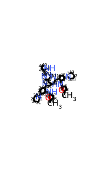 Cc1ccc(Nc2cc(N3CCCCC3)ccc2C2=CC3=CC(c4ccc(N5CCCCC5)cc4Nc4ccc(C)o4)=NC4=NC(c5ccc[nH]5)=NC(=N2)C4C3)o1